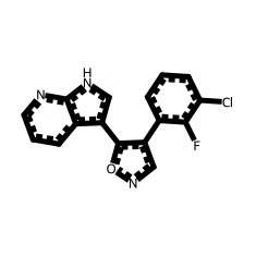 Fc1c(Cl)cccc1-c1cnoc1-c1c[nH]c2ncccc12